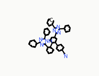 N#Cc1ccc(-c2cc(-c3nc(-c4ccccc4)nc(-c4ccccc4)n3)ccc2-c2ccccc2C2=NC(c3ccccc3)=NC(c3ccccc3)N2)cc1